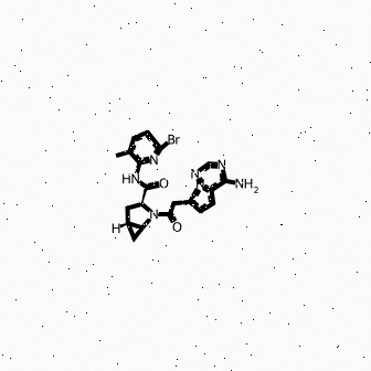 Cc1ccc(Br)nc1NC(=O)[C@@H]1C[C@H]2CC2N1C(=O)Cc1ccc2c(N)ncnn12